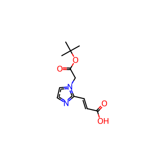 CC(C)(C)OC(=O)Cn1ccnc1/C=C/C(=O)O